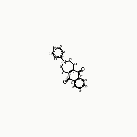 O=C1C2=C(CCN(c3ccncn3)CC2)C(=O)c2ccccc21